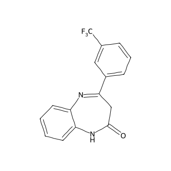 O=C1CC(c2cccc(C(F)(F)F)c2)=Nc2ccccc2N1